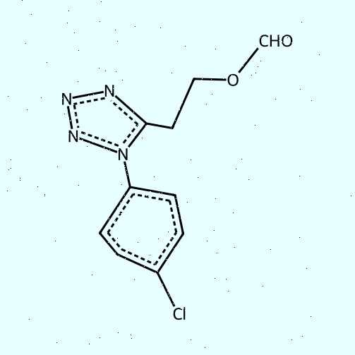 O=COCCc1nnnn1-c1ccc(Cl)cc1